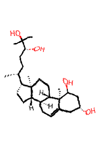 C[C@H](CC[C@@H](O)C(C)(C)O)[C@H]1CC[C@H]2[C@@H]3CC=C4C[C@@H](O)C[C@H](O)[C@]4(C)[C@H]3CC[C@]12C